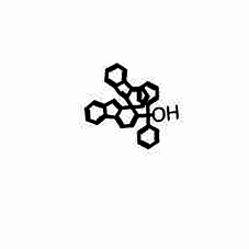 OC(C1=CC=C2C(=Cc3ccccc32)C12C=CC=C1C2=Cc2ccccc21)(c1ccccc1)c1ccccc1